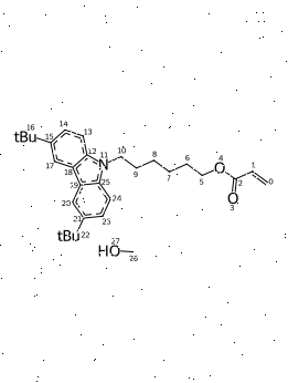 C=CC(=O)OCCCCCCn1c2ccc(C(C)(C)C)cc2c2cc(C(C)(C)C)ccc21.CO